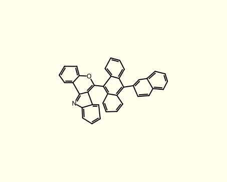 c1ccc2cc(-c3c4ccccc4c(-c4oc5ccccc5c5nc6ccccc6c4-5)c4ccccc34)ccc2c1